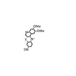 COc1cc2nccc(N(C)c3ccc(N=O)cc3F)c2cc1OC